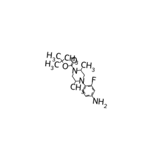 CC1CN(c2ccc(N)cc2F)C(C)CN1C(=O)OC(C)(C)C